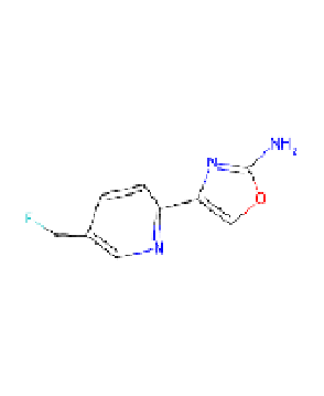 Nc1nc(-c2ccc(CF)cn2)co1